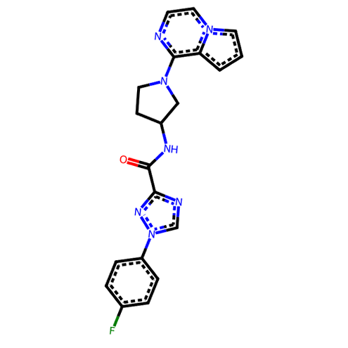 O=C(NC1CCN(c2nccn3cccc23)C1)c1ncn(-c2ccc(F)cc2)n1